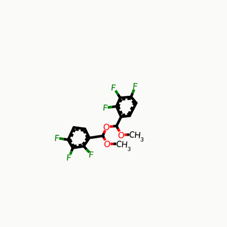 COC(OC(OC)c1ccc(F)c(F)c1F)c1ccc(F)c(F)c1F